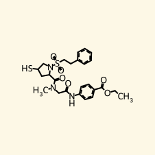 CCOC(=O)c1ccc(NC(=O)CN(C)C(=O)C2CC(S)CN2S(=O)(=O)CCc2ccccc2)cc1